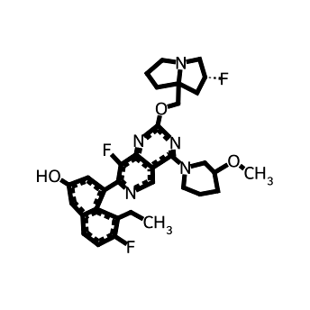 CCc1c(F)ccc2cc(O)cc(-c3ncc4c(N5CCCC(OC)C5)nc(OCC56CCCN5C[C@H](F)C6)nc4c3F)c12